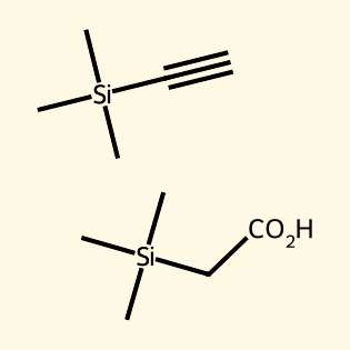 C#C[Si](C)(C)C.C[Si](C)(C)CC(=O)O